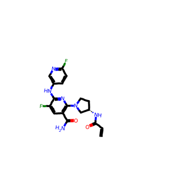 C=CC(=O)N[C@H]1CCN(c2nc(Nc3ccc(F)nc3)c(F)cc2C(N)=O)C1